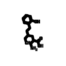 CCC(CCc1ccccc1O)CC(CN)C(=O)O